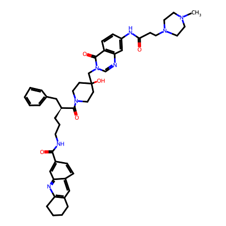 CN1CCN(CCC(=O)Nc2ccc3c(=O)n(CC4(O)CCN(C(=O)[C@@H](CCCNC(=O)c5ccc6cc7c(nc6c5)CCCC7)Cc5ccccc5)CC4)cnc3c2)CC1